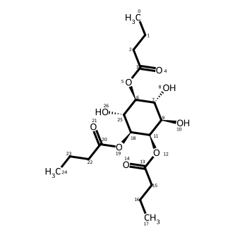 CCCC(=O)O[C@H]1[C@H](O)[C@@H](O)[C@@H](OC(=O)CCC)[C@@H](OC(=O)CCC)[C@@H]1O